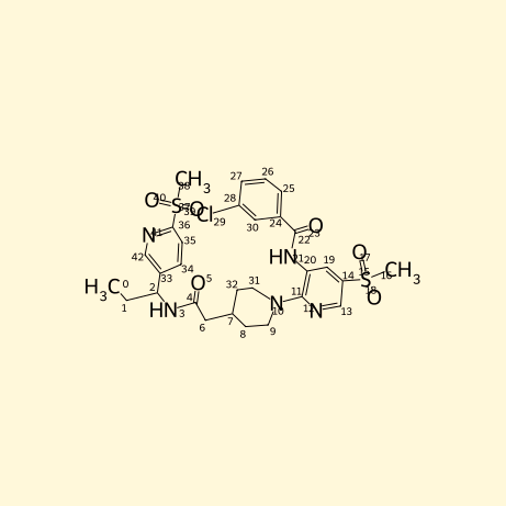 CCC(NC(=O)CC1CCN(c2ncc(S(C)(=O)=O)cc2NC(=O)c2cccc(Cl)c2)CC1)c1ccc(S(C)(=O)=O)nc1